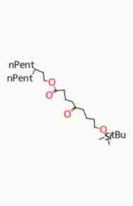 CCCCCC(CCCCC)CCOC(=O)CCCC(=O)CCCCO[Si](C)(C)C(C)(C)C